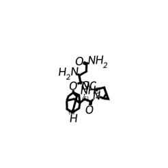 N#C[C@@H]1CC2CC2N1C(=O)[C@@H](N)C12CC3C[C@H](CC(OC(=O)C(N)CC(N)=O)(C3)C1)C2